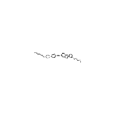 CCCCCCCOc1ccc2cc(C#Cc3ccc([C@H]4CC[C@H](CCCCCCC)CC4)cc3)ccc2c1